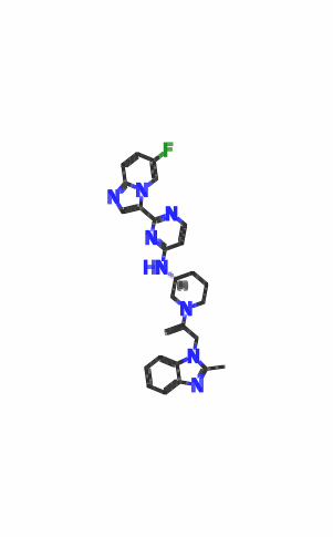 C=C(Cn1c(C)nc2ccccc21)N1CCC[C@@H](Nc2ccnc(-c3cnc4ccc(F)cn34)n2)C1